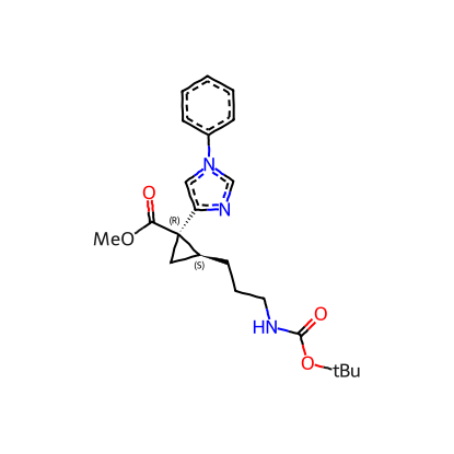 COC(=O)[C@]1(c2cn(-c3ccccc3)cn2)C[C@@H]1CCCNC(=O)OC(C)(C)C